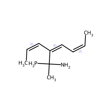 C\C=C/C=C(/C=C\C)C(C)(N)P